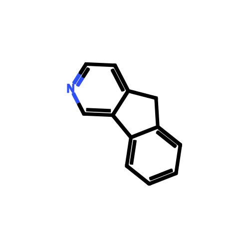 c1ccc2c(c1)Cc1ccncc1-2